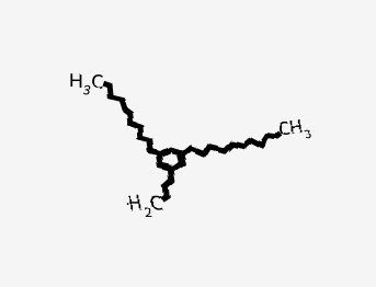 [CH2]CCCc1cc(CCCCCCCCCCC)cc(CCCCCCCCCCC)c1